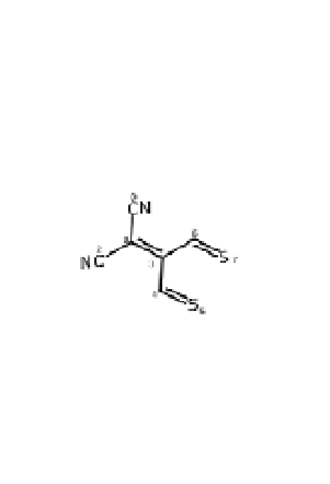 N#CC(C#N)=C(C=S)C=S